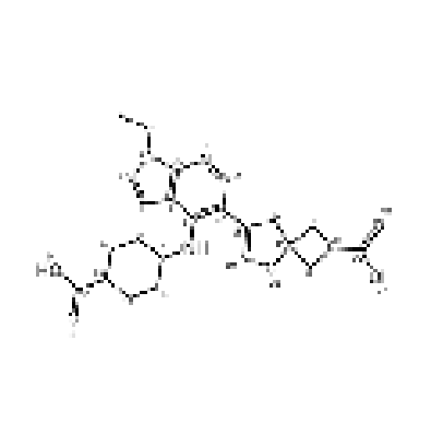 CCn1ncc2c(NC3CCC(C(=O)O)CC3)c(C3=NOC4(C3)CC(C(=O)O)C4)cnc21